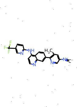 [C-]#[N+]c1cnc(-c2ccc3c(Nc4ccc(C(F)(F)F)cn4)ccnc3c2)c(C)c1